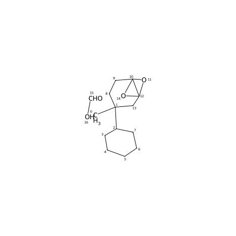 CC1(C2CCCCC2)CCC23OC2(C1)O3.O=CO